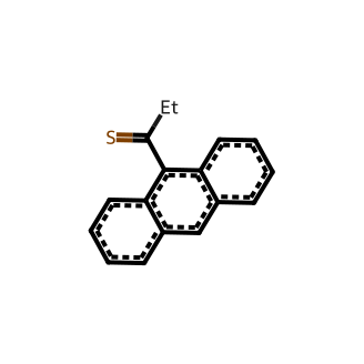 CCC(=S)c1c2ccccc2cc2ccccc12